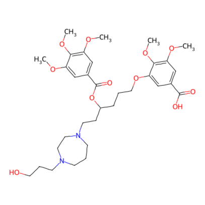 COc1cc(C(=O)OC(CCCOc2cc(C(=O)O)cc(OC)c2OC)CCN2CCCN(CCCO)CC2)cc(OC)c1OC